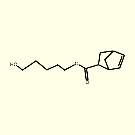 O=C(OCCCCCO)C1CC2C=CC1C2